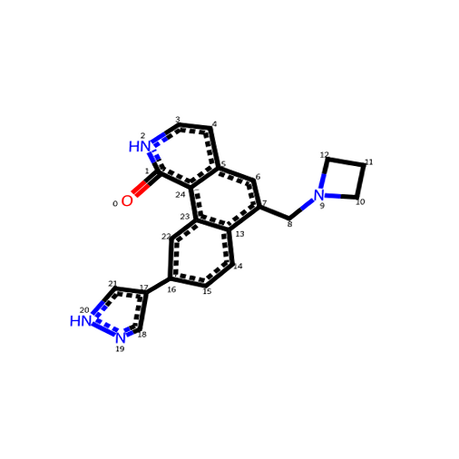 O=c1[nH]ccc2cc(CN3CCC3)c3ccc(-c4cn[nH]c4)cc3c12